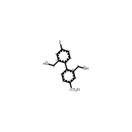 CCOC(=O)c1ccc(-c2ccc(F)cc2CO)c(CO)c1